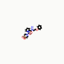 O=C(NCCOc1ccccc1)C1CCCCN1C(=O)N1CCS(=O)(=O)CC1